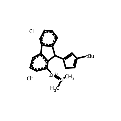 C[Si](C)=[Zr+2][c]1cccc2c1C(C1=CC(C(C)(C)C)=CC1)c1ccccc1-2.[Cl-].[Cl-]